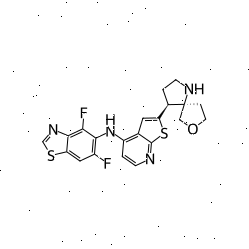 Fc1cc2scnc2c(F)c1Nc1ccnc2sc([C@H]3CCN[C@]34CCOC4)cc12